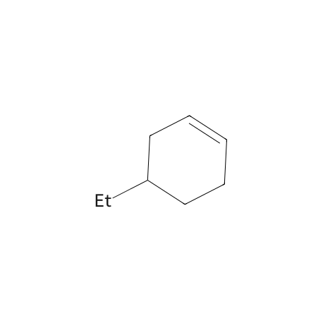 CCC1CC=CCC1